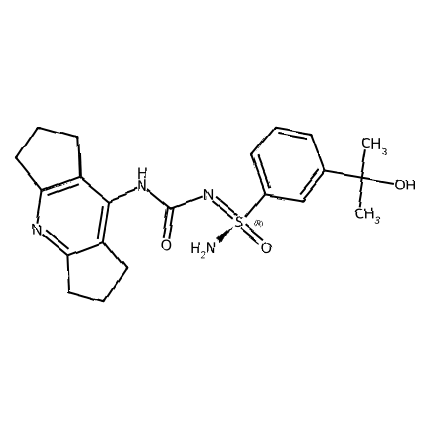 CC(C)(O)c1cccc([S@](N)(=O)=NC(=O)Nc2c3c(nc4c2CCC4)CCC3)c1